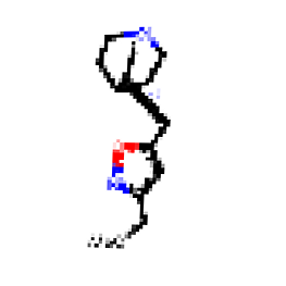 COCc1cc(/C=C2/CN3CCC2CC3)on1